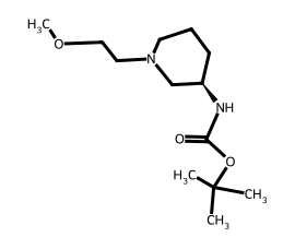 COCCN1CCC[C@@H](NC(=O)OC(C)(C)C)C1